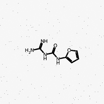 N=C(N)NC(=O)Nc1ccco1